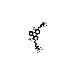 COC(C)(C)CCCC1CCCC(c2ccccc2C2CCCC(CCCC(C)(C)C(=O)O)C2O)C1O